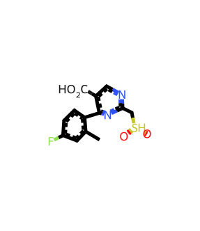 Cc1cc(F)ccc1-c1nc(C[SH](=O)=O)ncc1C(=O)O